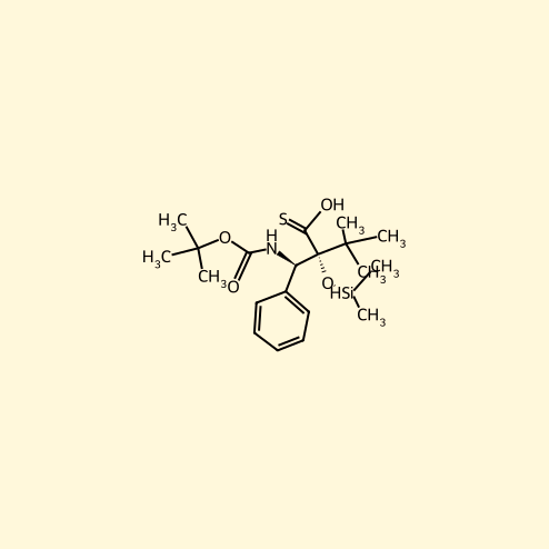 C[SiH](C)O[C@@](C(O)=S)([C@H](NC(=O)OC(C)(C)C)c1ccccc1)C(C)(C)C